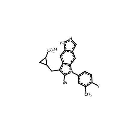 Cc1cc(-n2c(C(C)C)c(CC3CC3C(=O)O)c3cc4[nH]ncc4cc32)ccc1F